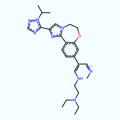 CCN(CC)CCN/C=C(\C=N/C)c1ccc2c(c1)OCCn1cc(-c3ncnn3C(C)C)nc1-2